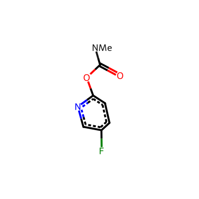 CNC(=O)Oc1ccc(F)cn1